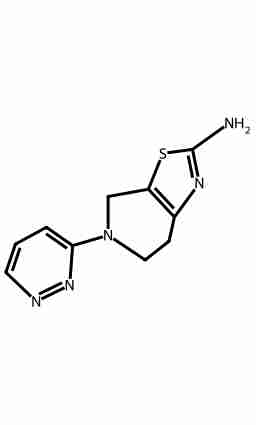 Nc1nc2c(s1)CN(c1cccnn1)CC2